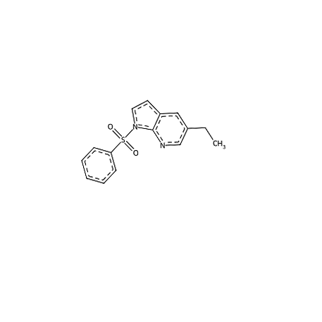 CCc1cnc2c(ccn2S(=O)(=O)c2ccccc2)c1